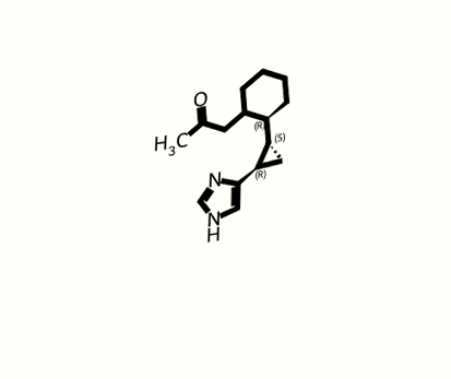 CC(=O)CC1CCCC[C@H]1[C@@H]1C[C@H]1c1c[nH]cn1